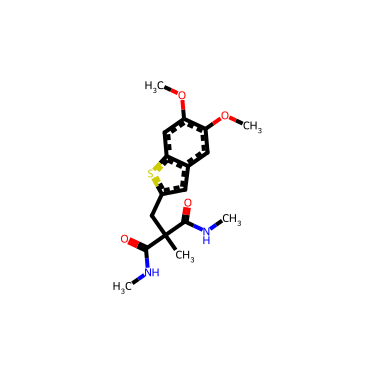 CNC(=O)C(C)(Cc1cc2cc(OC)c(OC)cc2s1)C(=O)NC